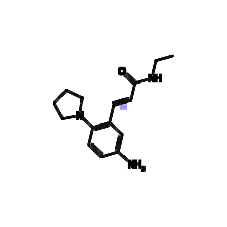 CCNC(=O)/C=C/c1cc(N)ccc1N1CCCC1